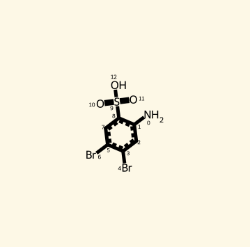 Nc1cc(Br)c(Br)cc1S(=O)(=O)O